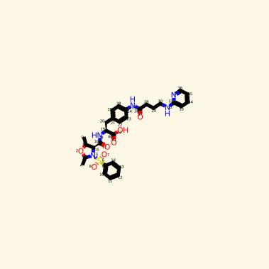 CC1OC(C)N(S(=O)(=O)c2ccccc2)[C@@H]1C(=O)N[C@@H](Cc1ccc(NC(=O)CCCNc2ccccn2)cc1)C(=O)O